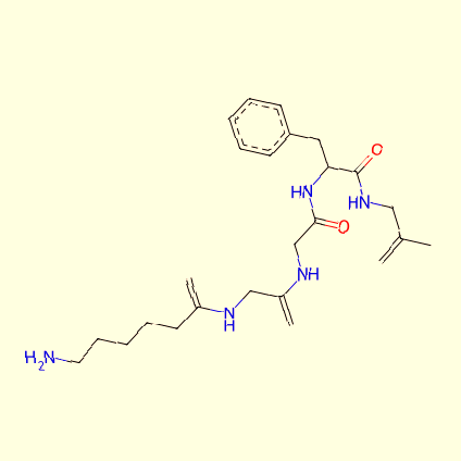 C=C(C)CNC(=O)C(Cc1ccccc1)NC(=O)CNC(=C)CNC(=C)CCCCCN